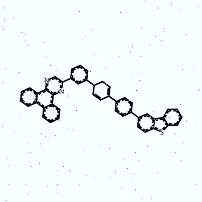 C1=CC(c2cccc(-c3cnc4c5ccccc5c5ccccc5c4n3)c2)CC=C1c1ccc(-c2ccc3sc4ccccc4c3c2)cc1